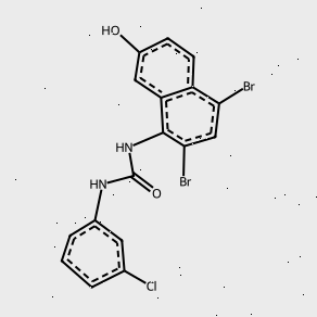 O=C(Nc1cccc(Cl)c1)Nc1c(Br)cc(Br)c2ccc(O)cc12